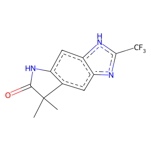 CC1(C)C(=O)Nc2cc3[nH]c(C(F)(F)F)nc3cc21